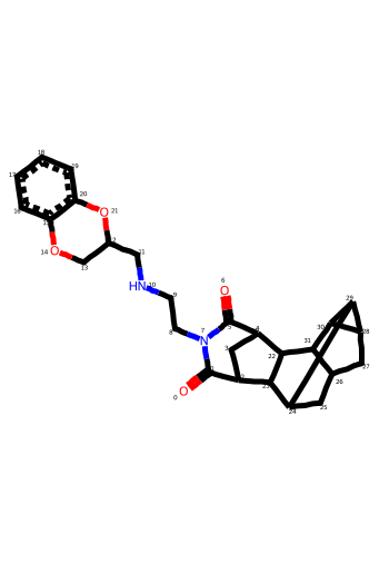 O=C1C2CC(C(=O)N1CCNCC1COc3ccccc3O1)C1C2C2CC3CC4C2C4C31